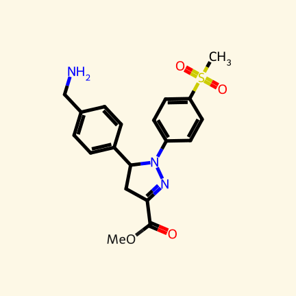 COC(=O)C1=NN(c2ccc(S(C)(=O)=O)cc2)C(c2ccc(CN)cc2)C1